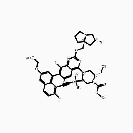 COCOc1cc(-c2c(F)cc3c(N4CCN(C(=O)OC(C)(C)C)[C@@H](CC#N)C4)nc(OC[C@@]45CCCN4C[C@H](F)C5)nc3c2F)c2c(C#C[Si](C(C)C)(C(C)C)C(C)C)c(F)ccc2c1